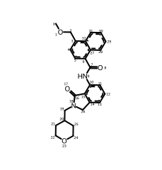 COCc1ccc(C(=O)Nc2cccc3c2C(=O)N(CC2CCOCC2)C3)c2ccccc12